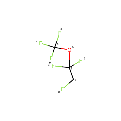 FCC(F)(F)OC(F)(F)F